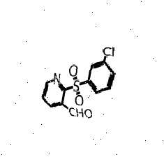 O=Cc1cccnc1S(=O)(=O)c1cccc(Cl)c1